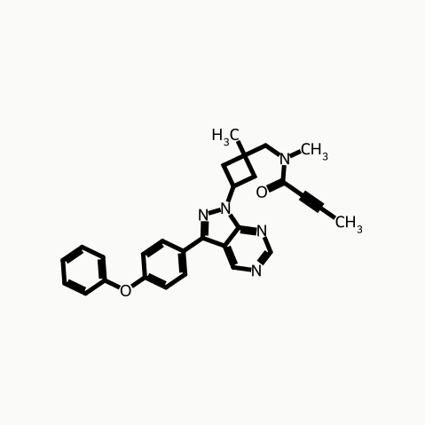 CC#CC(=O)N(C)CC1(C)CC(n2nc(-c3ccc(Oc4ccccc4)cc3)c3cncnc32)C1